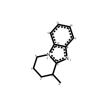 CC1CCCn2c1nc1ccccc12